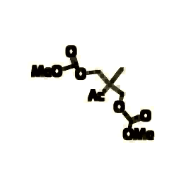 COC(=O)OCC(C)(COC(=O)OC)C(C)=O